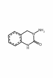 NN1Cc2ccccc2NC1=O